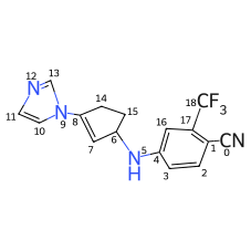 N#Cc1ccc(NC2C=C(n3ccnc3)CC2)cc1C(F)(F)F